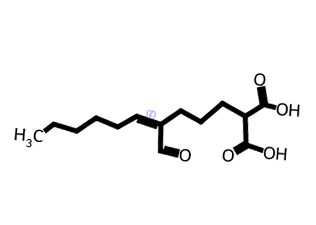 CCCCC/C=C(\C=O)CCCC(C(=O)O)C(=O)O